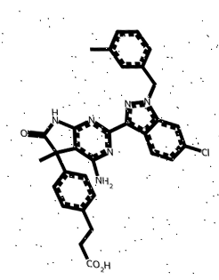 Cc1cccc(Cn2nc(-c3nc(N)c4c(n3)NC(=O)C4(C)c3ccc(CCC(=O)O)cc3)c3ccc(Cl)cc32)c1